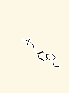 CCN1CCc2cc(OCC(C)(C)O)ccc21